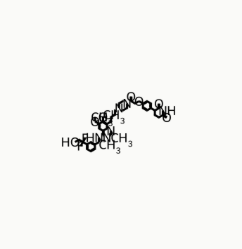 COc1cc2c(NC(C)c3cccc(C(F)(F)CO)c3)nc(C)nc2c(CCCCN2CCN(C(=O)COc3ccc(C4CCC(=O)NC4=O)cc3)CC2)c1OC